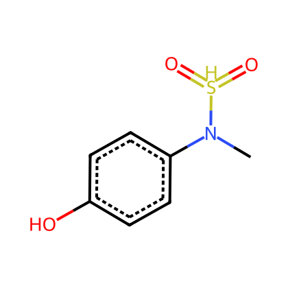 CN(c1ccc(O)cc1)[SH](=O)=O